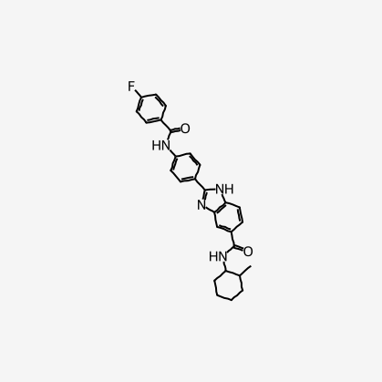 CC1CCCCC1NC(=O)c1ccc2[nH]c(-c3ccc(NC(=O)c4ccc(F)cc4)cc3)nc2c1